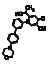 CC(O)c1cc(=O)c(O)cn1-c1cccc(-c2ccc(N3CCOCC3)cc2)c1